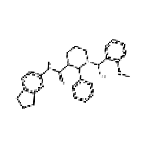 COc1ccccc1C(O)N1CCCC(C(=O)Nc2ccc3c(c2)CCC3)C1c1ccccc1